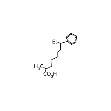 CCC(CC=CCCC(C)C(=O)O)c1ccccc1